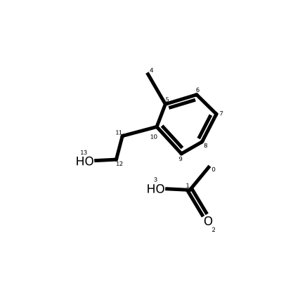 CC(=O)O.Cc1ccccc1CCO